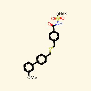 CCCCCCS(=O)(=O)NC(=O)c1ccc(CSCc2ccc(-c3cccc(OC)c3)cc2)cc1